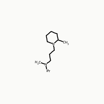 CC(C)N(C)CCCN1CCCCC1C